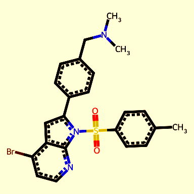 Cc1ccc(S(=O)(=O)n2c(-c3ccc(CN(C)C)cc3)cc3c(Br)ccnc32)cc1